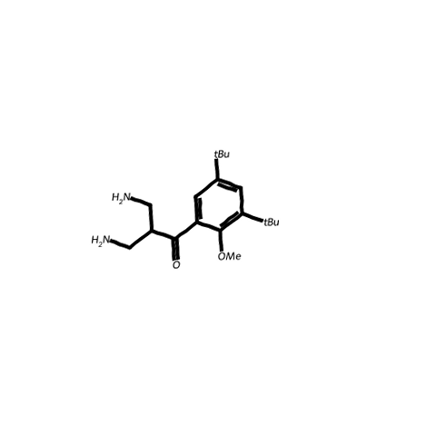 COc1c(C(=O)C(CN)CN)cc(C(C)(C)C)cc1C(C)(C)C